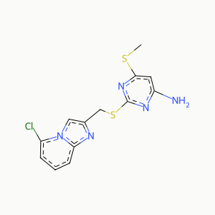 CSc1cc(N)nc(SCc2cn3c(Cl)cccc3n2)n1